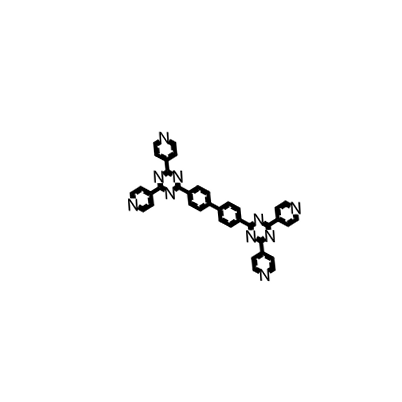 c1cc(-c2nc(-c3ccncc3)nc(-c3ccc(-c4ccc(-c5nc(-c6ccncc6)nc(-c6ccncc6)n5)cc4)cc3)n2)ccn1